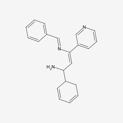 NC(/C=C(\N=C\c1ccccc1)c1cccnc1)C1C=CC=CC1